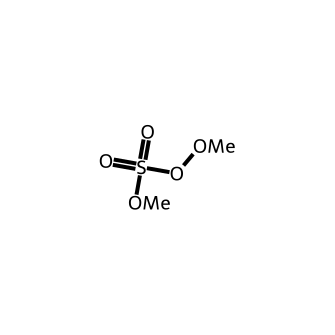 COOS(=O)(=O)OC